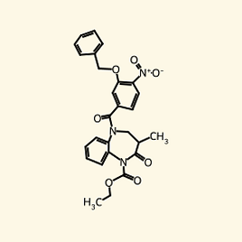 CCOC(=O)N1C(=O)C(C)CN(C(=O)c2ccc([N+](=O)[O-])c(OCc3ccccc3)c2)c2ccccc21